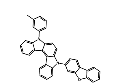 Cc1cccc(-n2c3ccccc3c3c4c5ccccc5n(-c5ccc6c(c5)oc5ccccc56)c4ccc32)c1